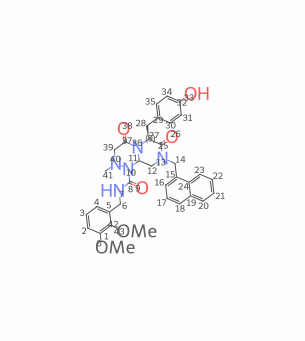 COc1cccc(CNC(=O)N2C3CN(Cc4cccc5ccccc45)C(=O)[C@H](Cc4ccc(O)cc4)N3C(=O)CN2C)c1OC